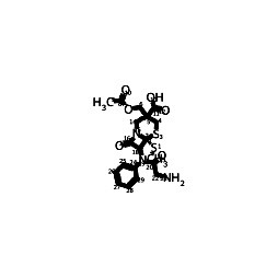 CS[C@]12SCC(COC(C)=O)(C(=O)O)CN1C(=O)C2N(C(=O)CN)c1ccccc1